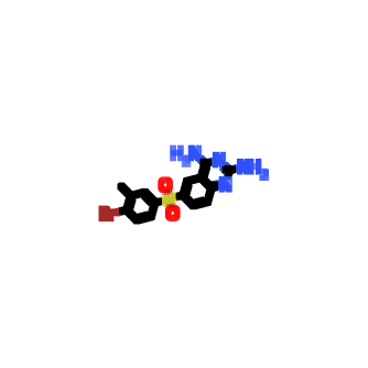 Cc1cc(S(=O)(=O)c2ccc3nc(N)nc(N)c3c2)ccc1Br